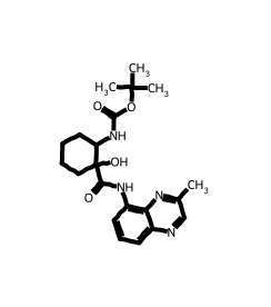 Cc1cnc2cccc(NC(=O)C3(O)CCCCC3NC(=O)OC(C)(C)C)c2n1